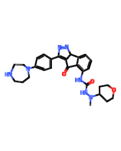 CN(NC(=O)Nc1cccc2c1C(=O)C1=C(c3ccc(N4CCCNCC4)cc3)N=NC12)C1CCOCC1